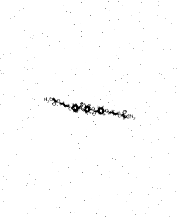 C=CC(=O)OCCCCOc1ccc(C(=O)Nc2ccc(OC(=O)c3ccc(OCCCCOC(=O)C=C)cc3)cc2Br)cc1